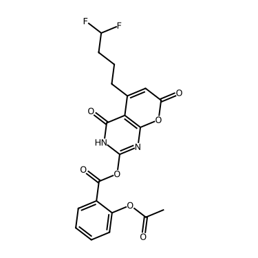 CC(=O)Oc1ccccc1C(=O)Oc1nc2oc(=O)cc(CCCC(F)F)c2c(=O)[nH]1